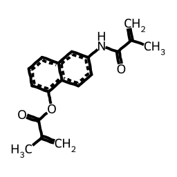 C=C(C)C(=O)Nc1ccc2c(OC(=O)C(=C)C)cccc2c1